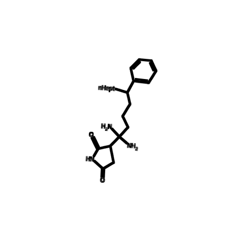 CCCCCCCC(CCCC(N)(N)C1CC(=O)NC1=O)c1ccccc1